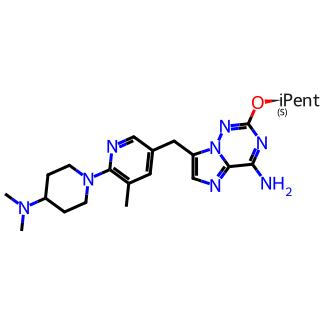 CCC[C@H](C)Oc1nc(N)c2ncc(Cc3cnc(N4CCC(N(C)C)CC4)c(C)c3)n2n1